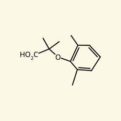 Cc1cccc(C)c1OC(C)(C)C(=O)O